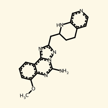 COc1cccc2c1nc(N)n1nc(CC3CCc4ccncc4N3)nc21